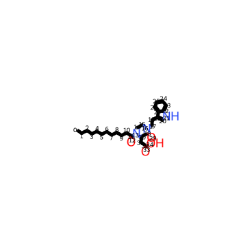 CCCCCCCCCCCC(=O)N1CCN(CCc2c[nH]c3ccccc23)C(=O)C1CC(=O)O